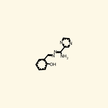 NC(=NN=Cc1ccccc1O)c1cnccn1